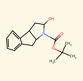 CC(C)(C)OC(=O)N1C(O)CC2c3ccccc3CC21